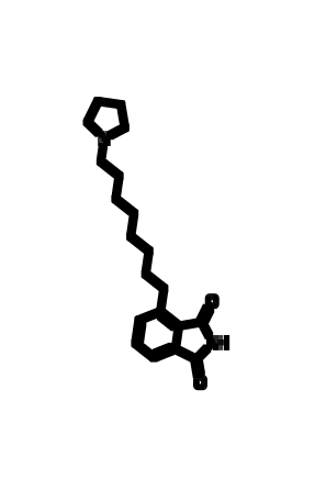 O=C1NC(=O)c2c(CCCCCCCCN3CCCC3)cccc21